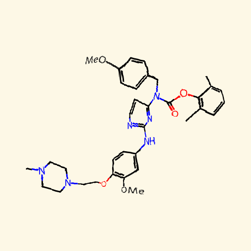 COc1ccc(CN(C(=O)Oc2c(C)cccc2C)c2ccnc(Nc3ccc(OCCN4CCN(C)CC4)c(OC)c3)n2)cc1